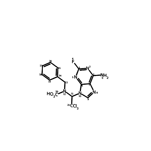 Nc1nc(F)nc2c1ncn2C(N(Cc1ccccc1)C(=O)O)C(Cl)(Cl)Cl